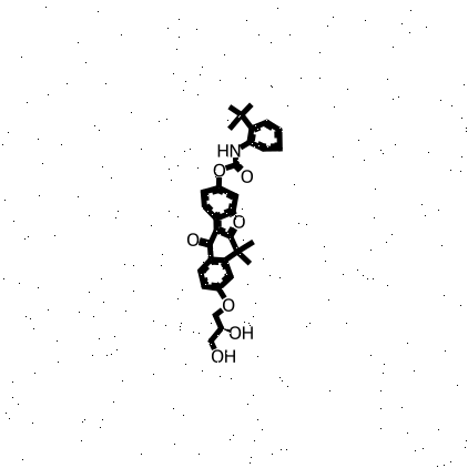 CC(C)(C)c1ccccc1NC(=O)Oc1ccc2c3c(oc2c1)C(C)(C)c1cc(OC[C@H](O)CO)ccc1C3=O